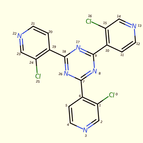 Clc1cnccc1-c1nc(-c2ccncc2Cl)nc(-c2ccncc2Cl)n1